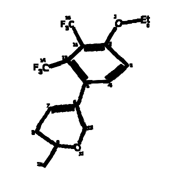 CCOc1ccc(C2=CCC(C)OC2)c(C(F)(F)F)c1C(F)(F)F